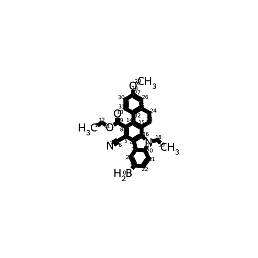 BC1=CC2c3c(C#N)c(C(=O)OCC)c4c(c3N(CC)C2C=C1)CCc1cc(OC)ccc1-4